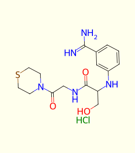 Cl.N=C(N)c1cccc(NC(CO)C(=O)NCC(=O)N2CCSCC2)c1